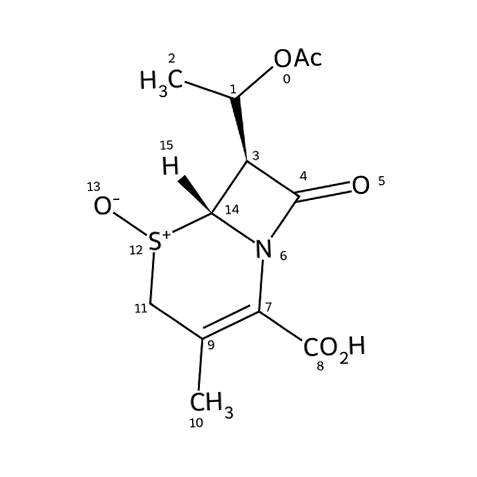 CC(=O)OC(C)[C@H]1C(=O)N2C(C(=O)O)=C(C)C[S+]([O-])[C@H]12